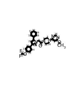 COc1cc(N2CCN(C(=O)Cn3nc(-c4ccc(OC(F)F)cc4)cc3-c3ccccc3)CC2)ncn1